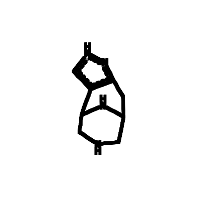 c1[nH]nc2c1C1CNCC(C2)N1